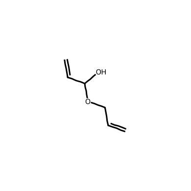 C=CCOC(O)C=C